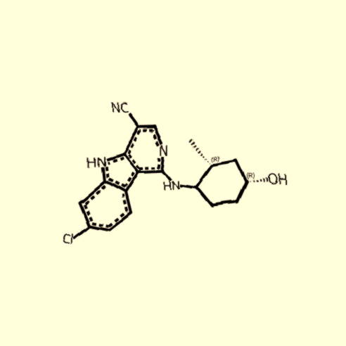 C[C@@H]1C[C@H](O)CCC1Nc1ncc(C#N)c2[nH]c3cc(Cl)ccc3c12